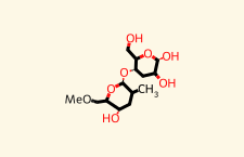 COCC1O[C@H](O[C@H]2CC(O)[C@@H](O)OC2CO)C(C)C[C@@H]1O